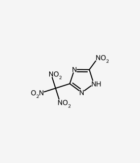 O=[N+]([O-])c1nc(C([N+](=O)[O-])([N+](=O)[O-])[N+](=O)[O-])n[nH]1